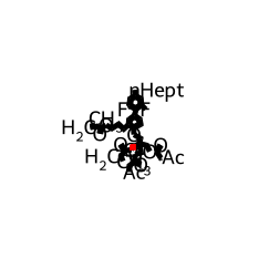 C=C(C)C(=O)OCCCc1cc(-c2c(F)cc(CCCCCCC)cc2F)ccc1OCC(COC(=O)CC(C)=O)(COC(=O)CC(C)=O)COC(=O)C(=C)C